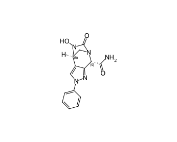 NC(=O)[C@@H]1c2nn(-c3ccccc3)cc2[C@@H]2CN1C(=O)N2O